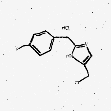 Cl.Fc1ccc(Cc2ncc(CCl)[nH]2)cc1